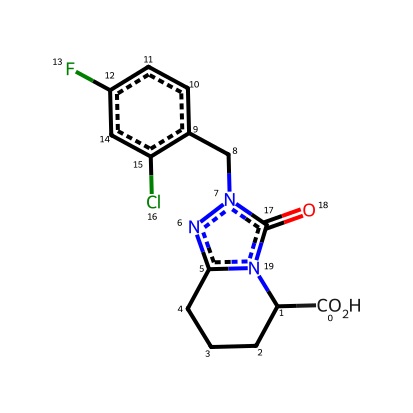 O=C(O)C1CCCc2nn(Cc3ccc(F)cc3Cl)c(=O)n21